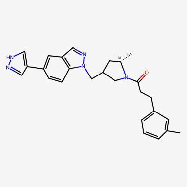 Cc1cccc(CCC(=O)N2CC(Cn3ncc4cc(-c5cn[nH]c5)ccc43)C[C@@H]2C)c1